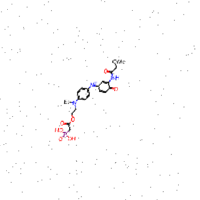 CCN(CCOC(=O)CP(=O)(O)O)c1ccc(/N=C2\C=CC(=O)C(NC(=O)COC)=C2)cc1